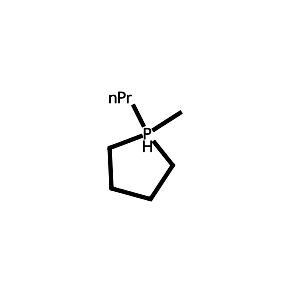 CCC[PH]1(C)CCCC1